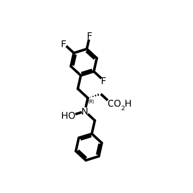 O=C(O)C[C@@H](Cc1cc(F)c(F)cc1F)N(O)Cc1ccccc1